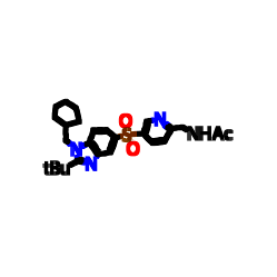 CC(=O)NCc1ccc(S(=O)(=O)c2ccc3c(c2)nc(C(C)(C)C)n3CC2CCCCC2)cn1